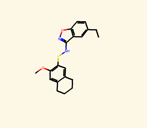 CCc1ccc2onc(NSc3cc4c(cc3OC)CCCC4)c2c1